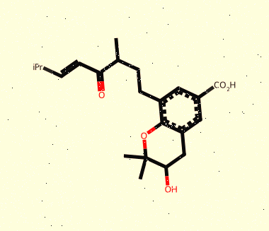 CC(C)/C=C/C(=O)C(C)CCc1cc(C(=O)O)cc2c1OC(C)(C)C(O)C2